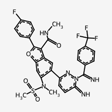 CNC(=O)c1c(-c2ccc(F)cc2)oc2cc(N(C)S(C)(=O)=O)c(-c3ccc(=N)n(C(=N)c4ccc(C(F)(F)F)cc4)n3)cc12